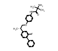 [CH2]C(C)(N)C(=O)Nc1ccc(OC[C@@H](C)c2ccc(-c3ccccc3)c(F)c2)cc1